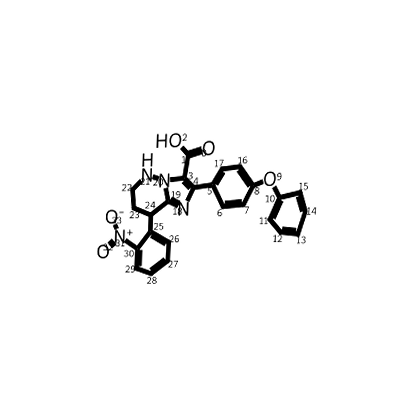 O=C(O)c1c(-c2ccc(Oc3ccccc3)cc2)nc2n1NCCC2c1ccccc1[N+](=O)[O-]